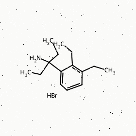 Br.CCc1cccc(C(N)(CC)CC)c1CC